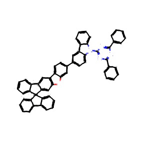 c1ccc(-c2nc(-c3ccccc3)nc(-n3c4ccccc4c4cc(-c5ccc6c(c5)oc5cc7c(cc56)-c5ccccc5C75c6ccccc6-c6ccccc65)ccc43)n2)cc1